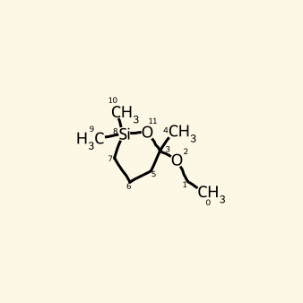 CCOC1(C)CCC[Si](C)(C)O1